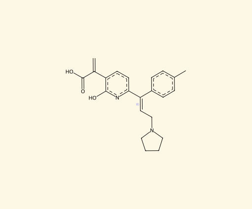 C=C(C(=O)O)c1ccc(/C(=C/CN2CCCC2)c2ccc(C)cc2)nc1O